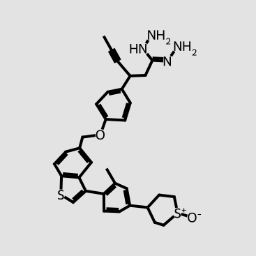 CC#CC(C/C(=N/N)NN)c1ccc(OCc2ccc3scc(-c4ccc(C5CC[S+]([O-])CC5)cc4C)c3c2)cc1